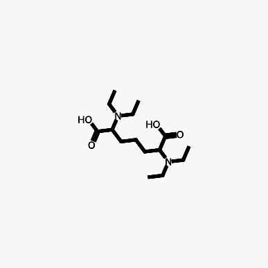 CCN(CC)C(CCCC(C(=O)O)N(CC)CC)C(=O)O